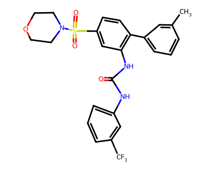 Cc1cccc(-c2ccc(S(=O)(=O)N3CCOCC3)cc2NC(=O)Nc2cccc(C(F)(F)F)c2)c1